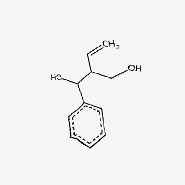 C=CC(CO)C(O)c1ccccc1